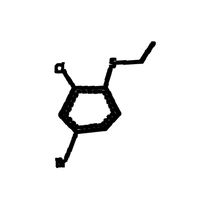 CCSc1ccc(Br)cc1Cl